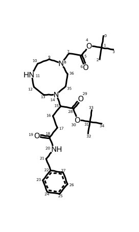 CC(C)(C)OC(=O)CN1CCNCCN(C(CCC(=O)NCc2ccccc2)C(=O)OC(C)(C)C)CC1